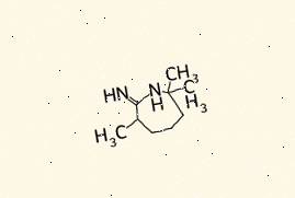 CC1CCCC(C)(C)NC1=N